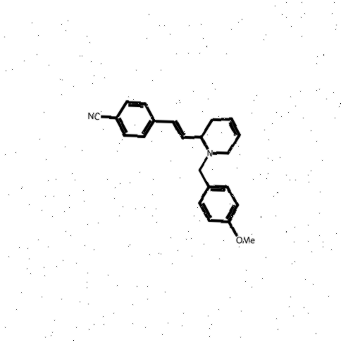 COc1ccc(CN2CC=CCC2C=Cc2ccc(C#N)cc2)cc1